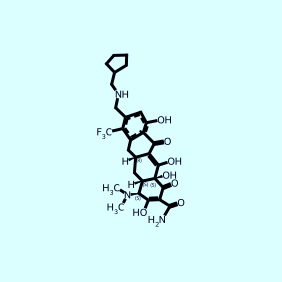 CN(C)[C@@H]1C(O)=C(C(N)=O)C(=O)[C@@]2(O)C(O)=C3C(=O)c4c(O)cc(CNCC5CCCC5)c(C(F)(F)F)c4C[C@H]3C[C@@H]12